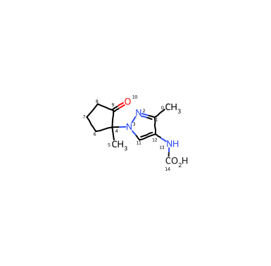 Cc1nn(C2(C)CCCC2=O)cc1NC(=O)O